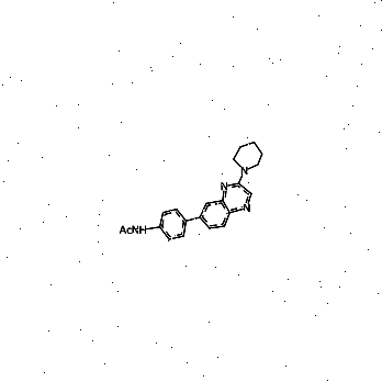 CC(=O)Nc1ccc(-c2ccc3ncc(N4CCCCC4)nc3c2)cc1